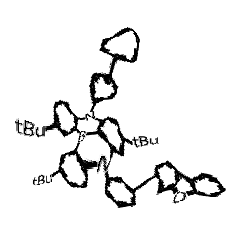 CC(C)(C)c1ccc2c(c1)B1c3cc(C(C)(C)C)ccc3N(c3cccc(-c4ccc5c(c4)oc4ccccc45)c3)c3cc(C(C)(C)C)cc(c31)N2c1ccc(-c2ccccc2)cc1